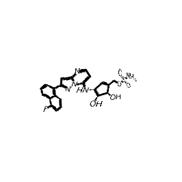 NS(=O)(=O)OCC1C[C@@H](Nc2ccnc3cc(-c4cccc5c(F)cccc45)nn23)[C@H](O)[C@@H]1O